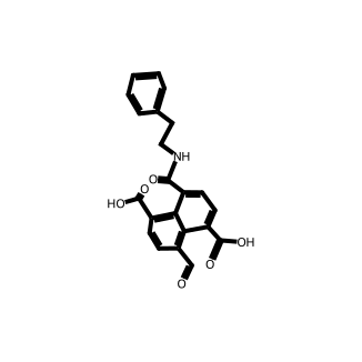 O=Cc1ccc(C(=O)O)c2c(C(=O)NCCc3ccccc3)ccc(C(=O)O)c12